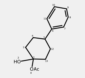 CC(=O)OC1(O)CCC(c2ccccc2)CC1